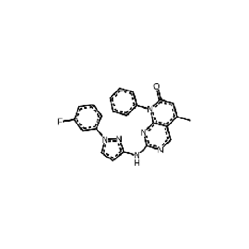 Cc1cc(=O)n(-c2ccccc2)c2nc(Nc3ccn(-c4cccc(F)c4)n3)ncc12